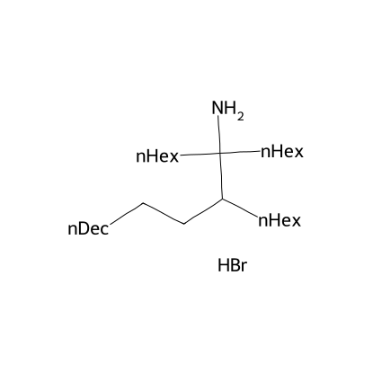 Br.CCCCCCCCCCCCC(CCCCCC)C(N)(CCCCCC)CCCCCC